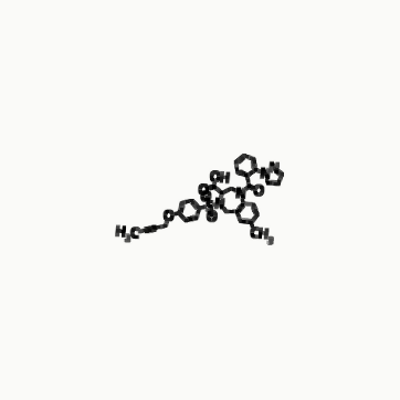 CC#CCOc1ccc(S(=O)(=O)N2Cc3cc(C)ccc3N(C(=O)c3ccccc3-n3cccn3)CC2C(=O)O)cc1